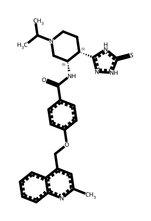 Cc1cc(COc2ccc(C(=O)N[C@@H]3CN(C(C)C)CC[C@@H]3c3n[nH]c(=S)[nH]3)cc2)c2ccccc2n1